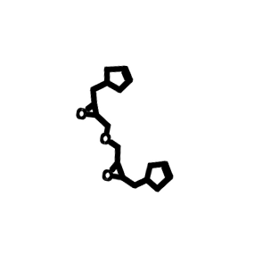 C1=CCC(CC2OC2COCC2OC2CC2CC=CC2)C1